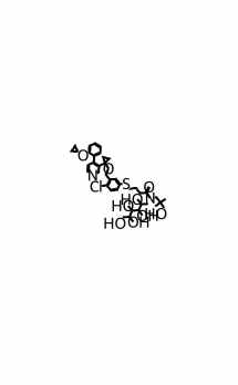 CC(C)(CO)CN(CC(O)C(O)C(O)C(O)CO)C(=O)CCCSc1ccc(Cl)c(COC2(c3cnccc3-c3ccccc3OC3CC3)CC2)c1